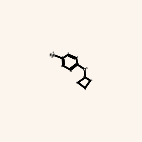 FC(F)(F)c1ccc(OC2CCC2)cc1